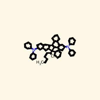 C=C(/C=C\C=C/C)C1(c2ccccc2)c2cc3cc(N(c4ccccc4)c4ccccc4)ccc3cc2-c2c1c1ccc(N(c3ccccc3)c3ccccc3)cc1c1ccccc21